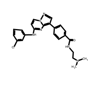 CN(C)CCNC(=O)c1ccc(-c2cnn3ccc(Nc4cccc(Cl)c4)nc23)cc1